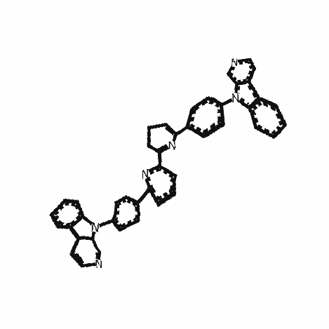 C1=CC2c3ccccc3N(c3ccc(-c4cccc(C5=NC(c6ccc(-n7c8ccccc8c8ccncc87)cc6)=CCC5)n4)cc3)C2C=N1